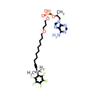 C[C@H](Cn1cnc2c(N)ncnc21)OCP(=O)(O)OCCCOCCCCCCCCCC#C[Si](C)(C)c1c(F)c(F)c(F)c(F)c1F